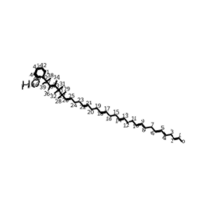 CC=CCCC=CCCC=CCCC=CCCC=CCCC=CCCC=CC(C)(C)C(C)(C)C(C)=C(C)C(C)(C)c1ccccc1O